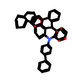 c1ccc(-c2ccc(N(c3ccccc3)c3ccc4c(oc5ccc6ccccc6c54)c3C(c3ccccc3)c3ccccc3-c3ccccc3)cc2)cc1